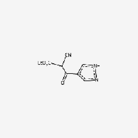 CCOC(=O)C(C#N)C(=O)c1cn[nH]c1